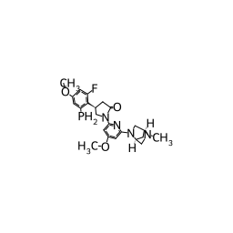 COc1cc(N2C[C@@H](c3c(F)cc(OC)cc3P)CC2=O)nc(N2C[C@@H]3C[C@H]2CN3C)c1